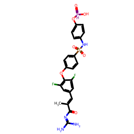 C/C(=C\c1cc(F)c(Oc2ccc(S(=O)(=O)Nc3ccc(O[PH](=O)O)cc3)cc2)c(F)c1)C(=O)N=C(N)N